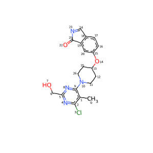 Cc1c(Cl)nc(CO)nc1N1CCC(Oc2ccc3c(c2)C(=O)N=C3)CC1